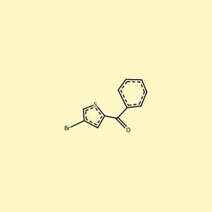 O=C(c1ccccc1)c1cc(Br)cs1